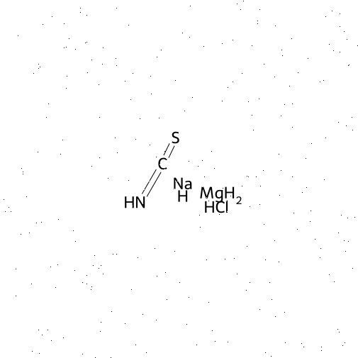 Cl.N=C=S.[MgH2].[NaH]